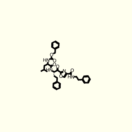 CC(C)CC(NC(=O)OCc1ccccc1)C(=O)N[C@@H](CCc1ccccc1)C(=O)c1nc(C(=O)NCCc2ccccc2)co1